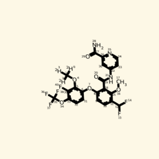 [2H]C([2H])([2H])Oc1c(Oc2ccc(C(F)F)c(OC)c2C(=O)Nc2ccnc(C(N)=O)c2)ccc(OC(F)(F)F)c1F